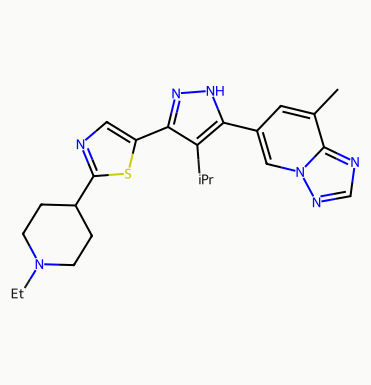 CCN1CCC(c2ncc(-c3n[nH]c(-c4cc(C)c5ncnn5c4)c3C(C)C)s2)CC1